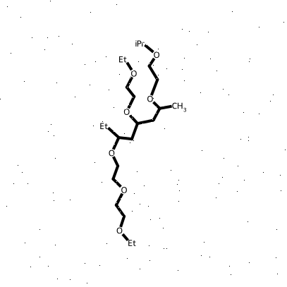 CCOCCOCCOC(CC)CC(CC(C)OCCOC(C)C)OCCOCC